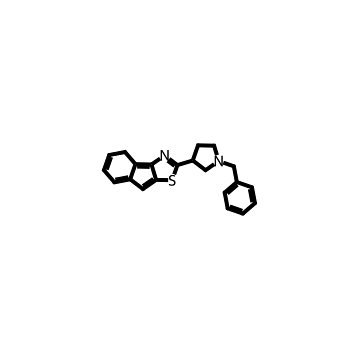 C1=CCC2=c3nc(C4CCN(Cc5ccccc5)C4)sc3=CC2=C1